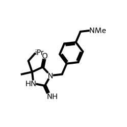 CNCc1ccc(CN2C(=N)NC(C)(CC(C)C)C2=O)cc1